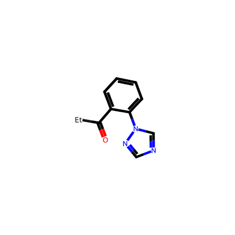 CCC(=O)c1ccccc1-n1cncn1